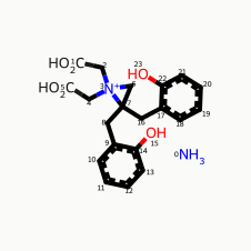 N.O=C(O)C[N+]1(CC(=O)O)CC1(Cc1ccccc1O)Cc1ccccc1O